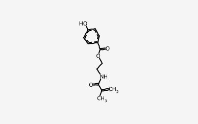 C=C(C)C(=O)NCCOC(=O)c1ccc(O)cc1